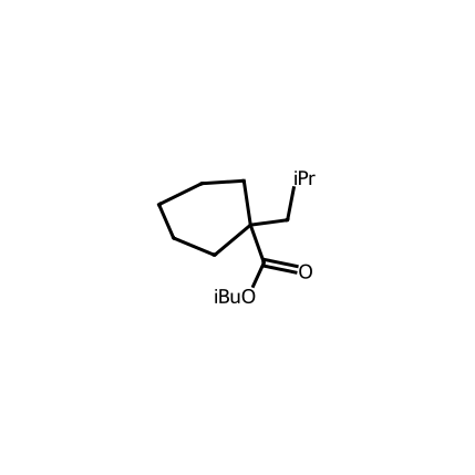 CC(C)COC(=O)C1(CC(C)C)CCCCC1